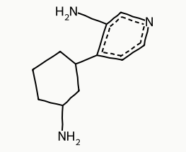 Nc1cnccc1C1CCCC(N)C1